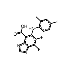 Cc1cc(I)ccc1Nc1c(F)c(F)c2scnc2c1C(=O)O